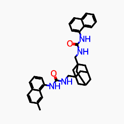 Cc1ccc2cccc(NC(=O)NCC34CC5CC(CC(CNC(=O)Nc6cccc7ccccc67)(C5)C3)C4)c2c1